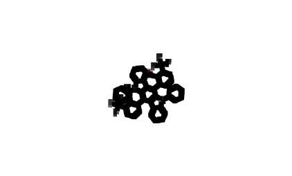 N#Cc1c(-c2c3c4ccccc4n(-c4ccccc4)c3c(-c3cccc(C(F)(F)F)c3C#N)c3c4ccccc4n(-c4ccccc4)c23)cccc1C(F)(F)F